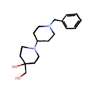 OCC1(O)CCN(C2CCN(Cc3ccccc3)CC2)CC1